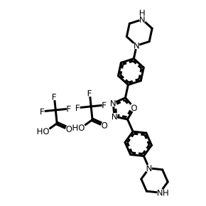 O=C(O)C(F)(F)F.O=C(O)C(F)(F)F.c1cc(N2CCNCC2)ccc1-c1nnc(-c2ccc(N3CCNCC3)cc2)o1